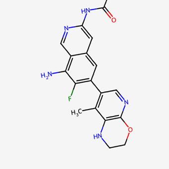 CNC(=O)Nc1cc2cc(-c3cnc4c(c3C)NCCO4)c(F)c(N)c2cn1